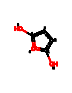 Oc1ccc(O)o1